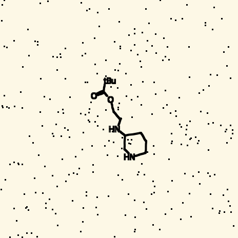 CC(C)(C)C(=O)OCCNC1CCCNC1